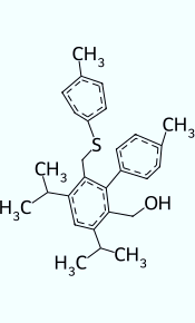 Cc1ccc(SCc2c(C(C)C)cc(C(C)C)c(CO)c2-c2ccc(C)cc2)cc1